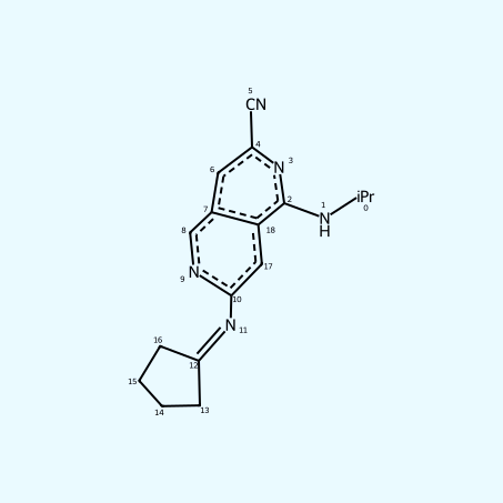 CC(C)Nc1nc(C#N)cc2cnc(N=C3CCCC3)cc12